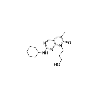 Cc1cc2cnc(NC3CCCCC3)nc2n(CCCO)c1=O